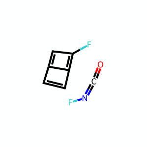 Fc1cc2ccc1-2.O=C=NF